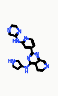 c1cnc(Nc2cc(-c3nc(NC4CCNC4)c4ccncc4n3)ccn2)cn1